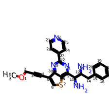 COCC#Cc1csc2c(C(N)C(N)Cc3ccccc3)nc(-c3ccncc3)nc12